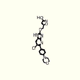 Oc1cc(COc2nc3nc(-c4ccc(N5CCOCC5)cc4)c(Cl)cc3[nH]2)on1